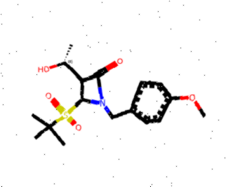 COc1ccc(CN2C(=O)C([C@@H](C)O)C2S(=O)(=O)C(C)(C)C)cc1